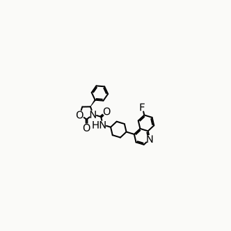 O=C(NC1CCC(c2ccnc3ccc(F)cc23)CC1)N1C(=O)OC[C@H]1c1ccccc1